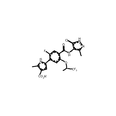 Cc1n[nH]c(Cl)c1NC(=O)c1cc(F)c(-c2cc(C(=O)O)c(C)[nH]2)cc1OC(C)C(F)(F)F